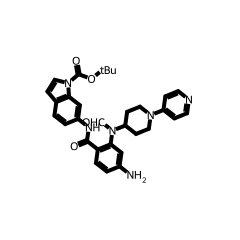 CC(C)(C)OC(=O)n1ccc2ccc(NC(=O)c3ccc(N)cc3N(C=O)C3CCN(c4ccncc4)CC3)cc21